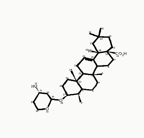 C[C@@H]1C2CC[C@@]3(C)C4CC[C@@]5(C(=O)O)CCC(C)(C)C[C@H]5C4=CCC3[C@@]2(C)CC[C@@H]1OC1C[C@@H](O)CCO1